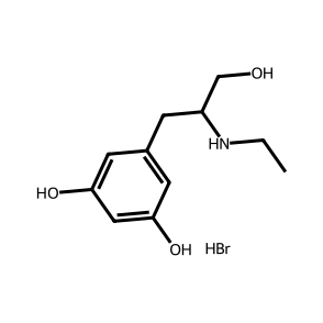 Br.CCNC(CO)Cc1cc(O)cc(O)c1